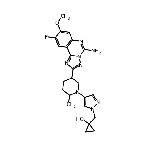 COc1cc2nc(N)n3nc(C4CCC(C)N(c5cnn(CC6(O)CC6)c5)C4)nc3c2cc1F